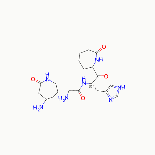 NC1CCCNC(=O)C1.NCC(=O)N[C@@H](Cc1c[nH]cn1)C(=O)C1CCCCC(=O)N1